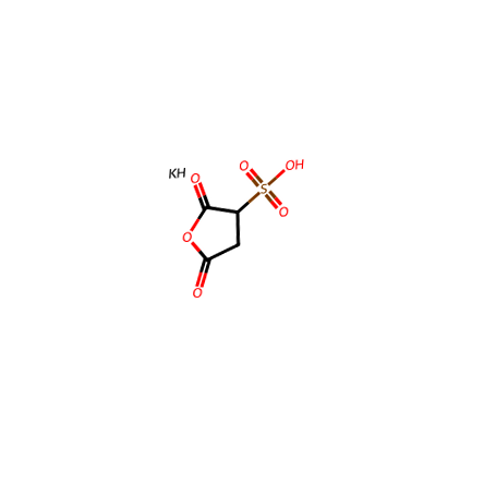 O=C1CC(S(=O)(=O)O)C(=O)O1.[KH]